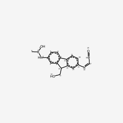 CB(O)Nc1ccc2c(c1)C(CO)c1cc(/N=C\B=O)ccc1-2